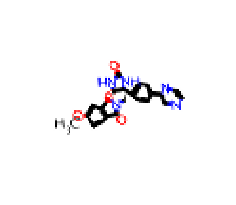 COc1ccc2c(c1)CN(C[C@@]1(c3ccc(-c4cnccn4)cc3)NC(=O)NC1=O)C2=O